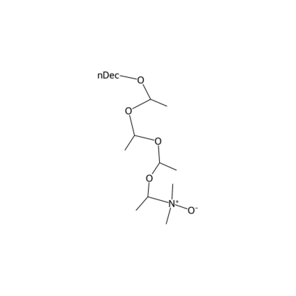 CCCCCCCCCCOC(C)OC(C)OC(C)OC(C)[N+](C)(C)[O-]